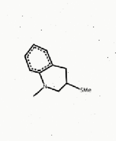 CSC1Cc2ccccc2N(C)C1